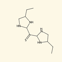 CCC1CNC(C(=S)C2NCC(CC)N2)N1